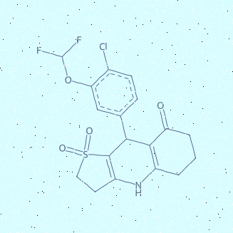 O=C1CCCC2=C1C(c1ccc(Cl)c(OC(F)F)c1)C1=C(CCS1(=O)=O)N2